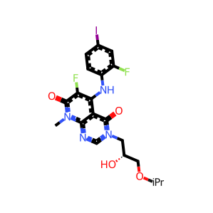 CC(C)OC[C@H](O)Cn1cnc2c(c(Nc3ccc(I)cc3F)c(F)c(=O)n2C)c1=O